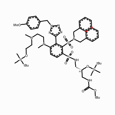 COc1ccc(Cn2nnc(-c3c(N(C)CCN(C)CCO[Si](C)(C)C(C)(C)C)ccc(S(=O)(=O)NC[C@@H](CNC(=O)OC(C)(C)C)O[Si](C)(C)C(C)(C)C)c3S(=O)(=O)N(Cc3ccccc3)Cc3ccccc3)n2)cc1